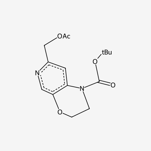 CC(=O)OCc1cc2c(cn1)OCCN2C(=O)OC(C)(C)C